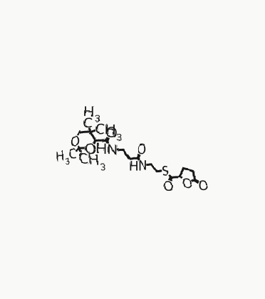 CC1(C)OCC(C)(C)C(C(=O)NCCC(=O)NCCSC(=O)C2CCC(=O)O2)O1